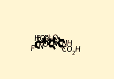 BC(O)(Oc1cc(C)n(C2=C[C@H](C(=O)O)NC=C2C)c(=O)c1Cl)c1ncc(F)cc1F